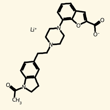 CC(=O)N1CCc2cc(CCN3CCN(c4cccc5cc(C(=O)[O-])oc45)CC3)ccc21.[Li+]